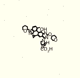 Cc1ccc2c(cnn2C2CCCCO2)c1-c1c(C2CC2)cc2c(N3CC4C[C@H]3CN4C(=O)O)nc(OC3CCOCC3)nc2c1O